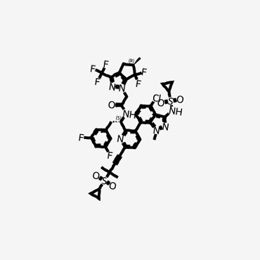 C[C@@H]1Cc2c(C(F)(F)F)nn(CC(=O)N[C@@H](Cc3cc(F)cc(F)c3)c3nc(C#CC(C)(C)S(=O)(=O)C4CC4)ccc3-c3ccc(Cl)c4c(NS(=O)(=O)C5CC5)nn(C)c34)c2C1(F)F